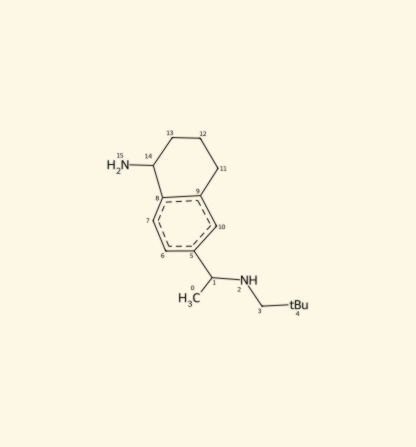 CC(NCC(C)(C)C)c1ccc2c(c1)CCCC2N